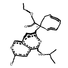 CCOC(=O)[C@@]1(c2cc3cnc(Cl)cc3c(NC(C)C)n2)C=CC=CC1